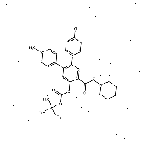 Cc1ccc(-c2nc(OC(=O)OC(C)(C)C)c(C(=O)NN3CCCCC3)nc2-c2ccc(Cl)cc2)cc1